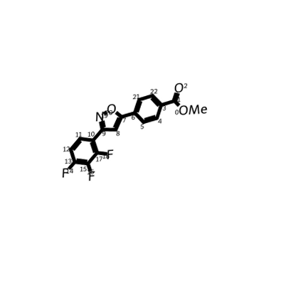 COC(=O)c1ccc(-c2cc(-c3ccc(F)c(F)c3F)no2)cc1